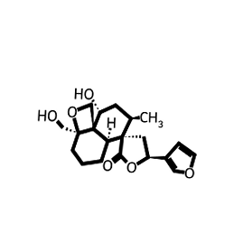 C[C@@H]1C[C@@H](O)[C@@]23CO[C@]2(CO)CCC[C@@H]3[C@@]12C[C@@H](c1ccoc1)OC2=O